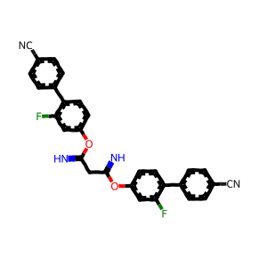 N#Cc1ccc(-c2ccc(OC(=N)CC(=N)Oc3ccc(-c4ccc(C#N)cc4)c(F)c3)cc2F)cc1